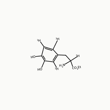 [2H]c1c([2H])c(CC([2H])(N)C(=O)OCC)c([2H])c(O)c1O